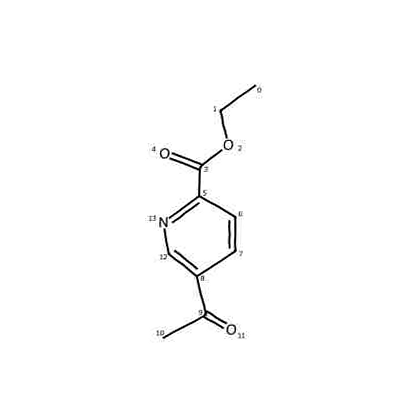 CCOC(=O)c1ccc(C(C)=O)cn1